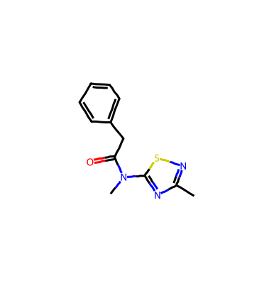 Cc1nsc(N(C)C(=O)Cc2ccccc2)n1